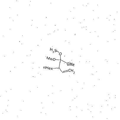 C=CC(CCCCCC)C(OC)(OC)O[SiH3]